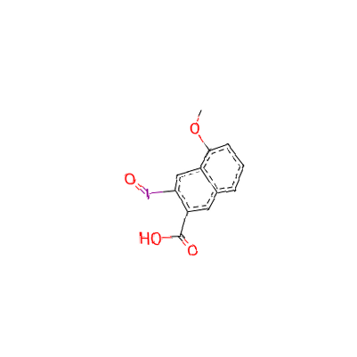 COc1cccc2cc(C(=O)O)c(I=O)cc12